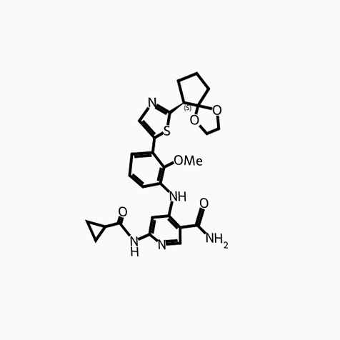 COc1c(Nc2cc(NC(=O)C3CC3)ncc2C(N)=O)cccc1-c1cnc([C@H]2CCCC23OCCO3)s1